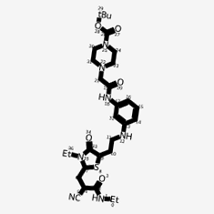 CCNC(=O)C(C#N)CC1SC(CCNc2cccc(NC(=O)CN3CCN(C(=O)OC(C)(C)C)CC3)c2)C(=O)N1CC